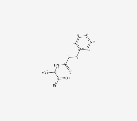 CCC(=O)C(NC(=O)CCc1cccnc1)C(C)(C)C